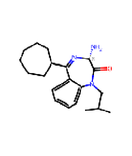 CC(C)CN1C(=O)[C@@H](N)N=C(C2CCCCCC2)c2ccccc21